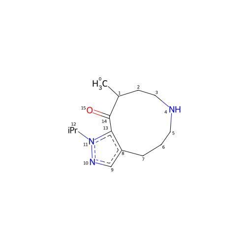 CC1CCNCCCc2cnn(C(C)C)c2C1=O